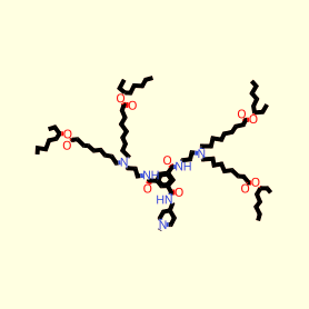 CCCCCC(CC)OC(=O)CCCCCCCCN(CCCCCCCCC(=O)OC(CC)CCCCC)CCCNC(=O)c1cc(C(=O)NCCCN(CCCCCCCCC(=O)OC(CC)CCCCC)CCCCCCCCC(=O)OC(CC)CCCCC)cc(C(=O)NCC2CCN(C)CC2)c1